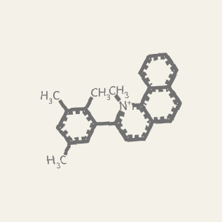 Cc1cc(C)c(C)c(-c2ccc3ccc4ccccc4c3[n+]2C)c1